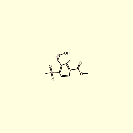 COC(=O)c1ccc(S(C)(=O)=O)c(/C=N\O)c1C